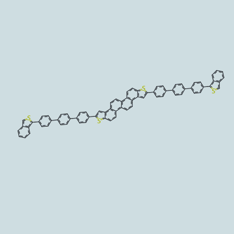 c1ccc2c(-c3ccc(-c4ccc(-c5ccc(-c6cc7c(ccc8c7ccc7c9ccc%10sc(-c%11ccc(-c%12ccc(-c%13ccc(-c%14scc%15ccccc%14%15)cc%13)cc%12)cc%11)cc%10c9ccc87)s6)cc5)cc4)cc3)scc2c1